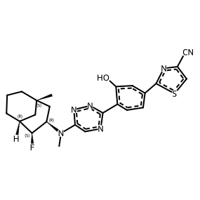 CN(c1cnc(-c2ccc(-c3nc(C#N)cs3)cc2O)nn1)[C@@H]1C[C@@]2(C)CCC[C@H](C2)[C@@H]1F